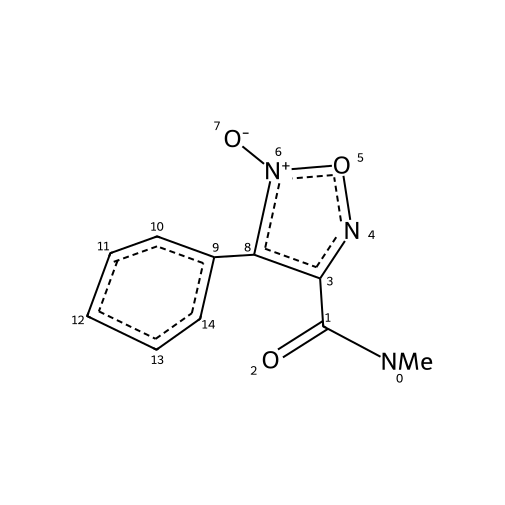 CNC(=O)c1no[n+]([O-])c1-c1ccccc1